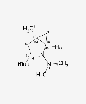 CN(C)N1[C@H](C(C)(C)C)C[C@@]2(C)C[C@@H]12